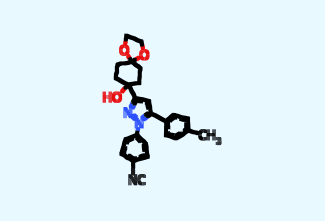 [C-]#[N+]c1ccc(-n2nc(C3(O)CCC4(CC3)OCCO4)cc2-c2ccc(C)cc2)cc1